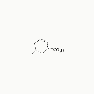 CC1CC=CN(C(=O)O)C1